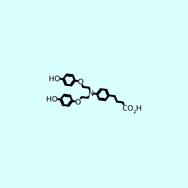 O=C(O)CCCc1ccc(N(CCOc2ccc(O)cc2)CCOc2ccc(O)cc2)cc1